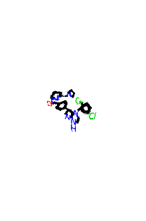 O=C(c1ccc(-c2cnc3c(c2)N(Cc2cc(Cl)ccc2Cl)CCN3)cc1)N1CCC[C@H]1CN1CCCC1